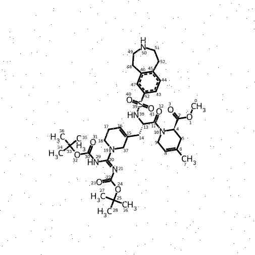 COC(=O)[C@H]1CC(C)=CCN1C(=O)[C@H](CC1=CCCN(C(=NC(=O)OC(C)(C)C)NC(=O)OC(C)(C)C)C1)NS(=O)(=O)c1ccc2c(c1)CCNCC2